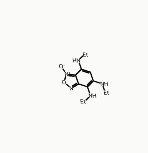 CCNc1cc(NCC)c2c(no[n+]2[O-])c1NCC